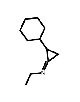 CC/N=C1/CC1C1CCCCC1